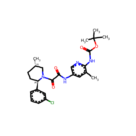 Cc1cc(NC(=O)C(=O)N2C[C@@H](C)CC[C@@H]2c2cccc(Cl)c2)cnc1NC(=O)OC(C)(C)C